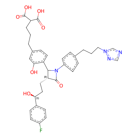 O=C(O)C(CCCc1ccc(C2[C@@H](CC[C@H](O)c3ccc(F)cc3)C(=O)N2c2ccc(CCCn3cncn3)cc2)c(O)c1)C(=O)O